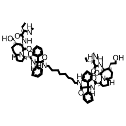 CC[C@H](NC)C(=O)N[C@@H]1C(=O)N2[C@@H](CC[C@@H]1CCO)CC[C@H]2C(=O)NC(C(=O)NCCCCCCCCNC(=O)C(NC(=O)[C@@H]1CC[C@@H]2CC[C@H](CO)[C@H](NC(=O)[C@H](CC)NC)C(=O)N21)(c1ccccc1)c1ccccc1)(c1ccccc1)c1ccccc1